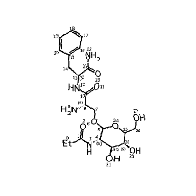 CCC(=O)N[C@@H]1C(OC[C@H](N)C(=O)N[C@@H](Cc2ccccc2)C(N)=O)OC(CO)[C@@H](O)C1O